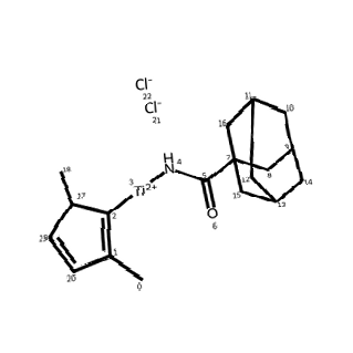 CC1=[C]([Ti+2][NH]C(=O)C23CC4CC(CC(C4)C2)C3)C(C)C=C1.[Cl-].[Cl-]